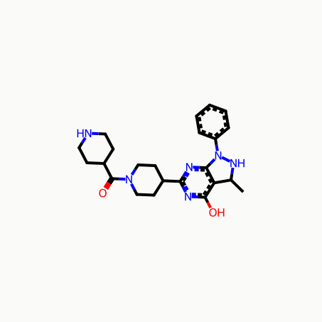 CC1NN(c2ccccc2)c2nc(C3CCN(C(=O)C4CCNCC4)CC3)nc(O)c21